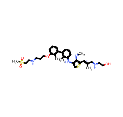 C=Nc1c(Nc2cccc(-c3cccc(OCCCNCCS(C)(=O)=O)c3C)c2C)csc1/C=C(\C)CNCCO